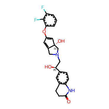 O=C1CCc2cc([C@@H](O)CN3CC4=CC(Oc5cccc(F)c5F)=C[C@@]4(O)C3)ccc2N1